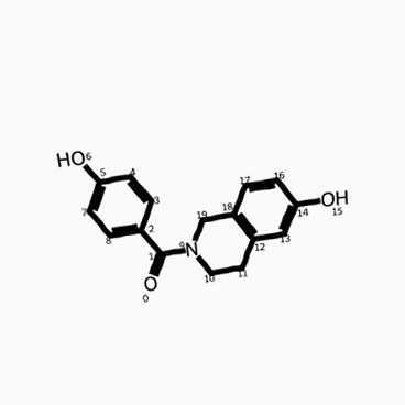 O=C(c1ccc(O)cc1)N1CCc2cc(O)ccc2C1